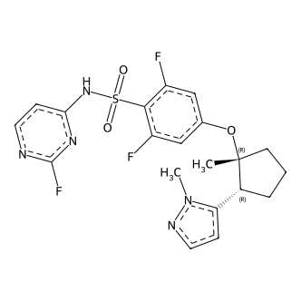 Cn1nccc1[C@H]1CCC[C@@]1(C)Oc1cc(F)c(S(=O)(=O)Nc2ccnc(F)n2)c(F)c1